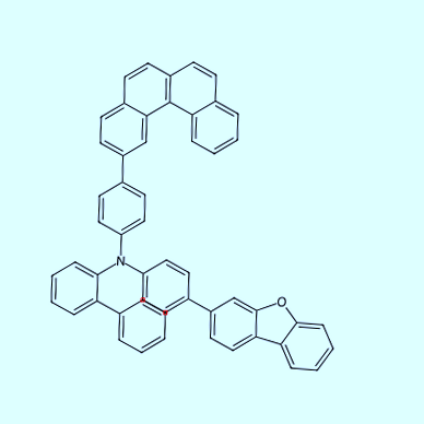 c1ccc(-c2ccccc2N(c2ccc(-c3ccc4c(c3)oc3ccccc34)cc2)c2ccc(-c3ccc4ccc5ccc6ccccc6c5c4c3)cc2)cc1